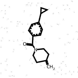 C=C1CCN(C(=O)c2ccc(C3CC3)cc2)CC1